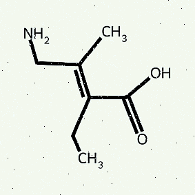 CCC(C(=O)O)=C(C)CN